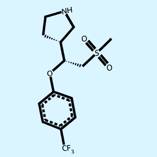 CS(=O)(=O)C[C@H](Oc1ccc(C(F)(F)F)cc1)[C@@H]1CCNC1